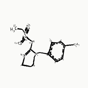 Cc1ccc(N2CCN=C2NS(C)(=O)=O)cc1